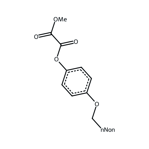 CCCCCCCCCCOc1ccc(OC(=O)C(=O)OC)cc1